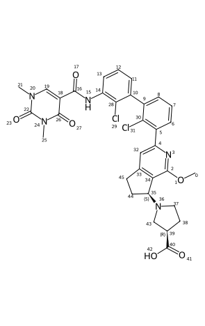 COc1nc(-c2cccc(-c3cccc(NC(=O)c4cn(C)c(=O)n(C)c4=O)c3Cl)c2Cl)cc2c1[C@@H](N1CC[C@@H](C(=O)O)C1)CC2